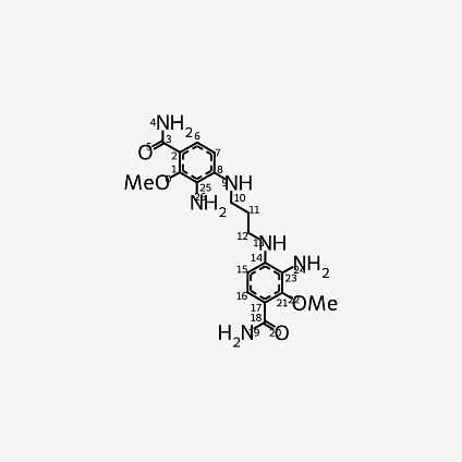 COc1c(C(N)=O)ccc(NCCCNc2ccc(C(N)=O)c(OC)c2N)c1N